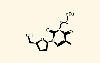 CCCCSSn1c(=O)c(C)cn([C@H]2CC[C@@H](CO)O2)c1=O